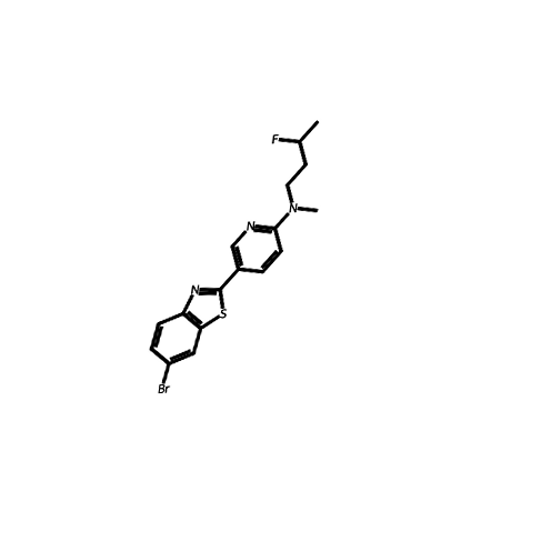 CC(F)CCN(C)c1ccc(-c2nc3ccc(Br)cc3s2)cn1